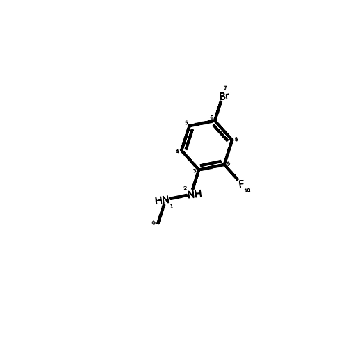 CNNc1ccc(Br)cc1F